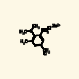 Cc1cc(C)c(N(C)C)c(C)c1.Cl.[Cl-].[Cl-].[Zn+2]